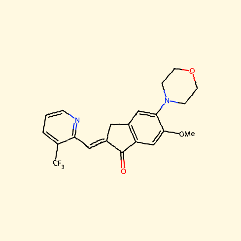 COc1cc2c(cc1N1CCOCC1)CC(=Cc1ncccc1C(F)(F)F)C2=O